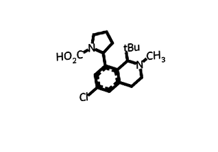 CN1CCc2cc(Cl)cc(C3CCCN3C(=O)O)c2C1C(C)(C)C